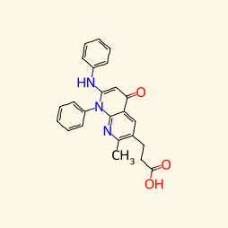 Cc1nc2c(cc1CCC(=O)O)c(=O)cc(Nc1ccccc1)n2-c1ccccc1